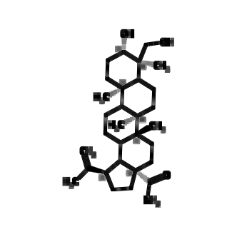 C=C(C)[C@@H]1CC[C@]2(C(N)=O)CC[C@]3(C)C(CCC4[C@@]5(C)CC[C@H](O)[C@@](C)(CO)C5CC[C@]43C)C12